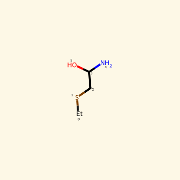 CCSCC(N)O